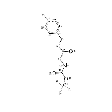 Cc1ccc(CCC(=O)CNC(=O)OC(C)(C)C)cc1